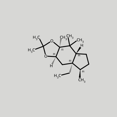 CC[C@]12C[C@H]3OC(C)(C)O[C@@]3(C)C(C)(C)[C@@H]1CC[C@H]2C